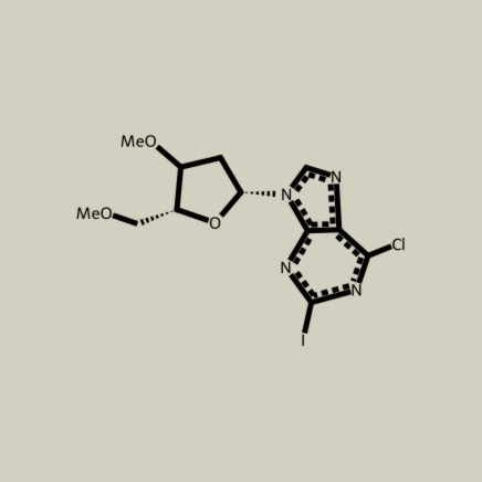 COC[C@H]1O[C@@H](n2cnc3c(Cl)nc(I)nc32)CC1OC